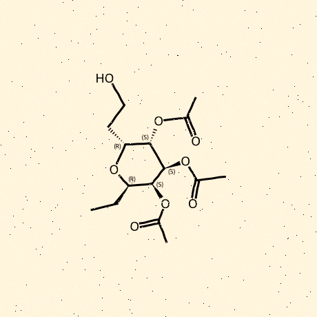 CC[C@H]1O[C@H](CCO)[C@H](OC(C)=O)[C@@H](OC(C)=O)[C@H]1OC(C)=O